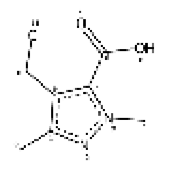 Cc1nn(C)c(C(=O)O)c1CCl